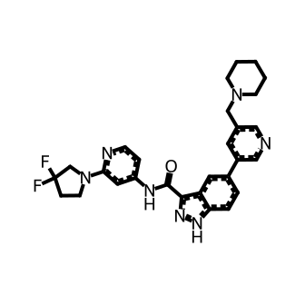 O=C(Nc1ccnc(N2CCC(F)(F)C2)c1)c1n[nH]c2ccc(-c3cncc(CN4CCCCC4)c3)cc12